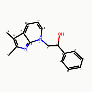 Cc1nc2n(CC(O)c3ccccc3)cccc-2c1C